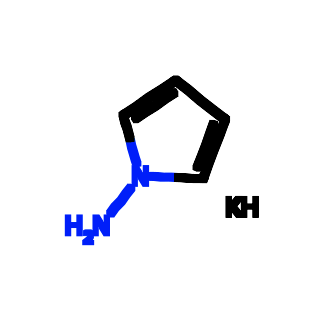 Nn1cccc1.[KH]